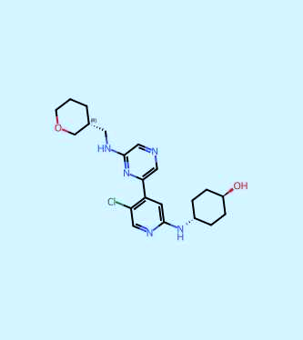 O[C@H]1CC[C@H](Nc2cc(-c3cncc(NC[C@H]4CCCOC4)n3)c(Cl)cn2)CC1